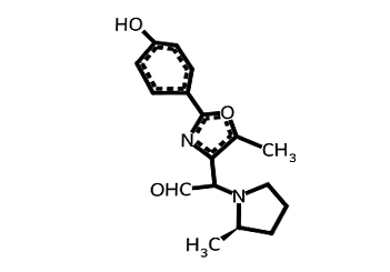 Cc1oc(-c2ccc(O)cc2)nc1C(C=O)N1CCC[C@H]1C